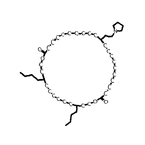 CCCCC1CCCCCCC(CCCC)CCOC(=O)CCCCCCCCCC(CCN2CCCC2)CCCCCCCCCC(=O)OCC1